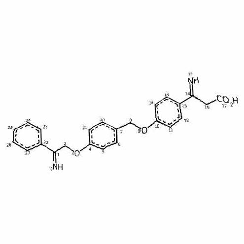 N=C(COc1ccc(COc2ccc(C(=N)CC(=O)O)cc2)cc1)c1ccccc1